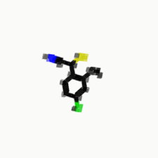 Cc1cc(Cl)ccc1C(S)C#N